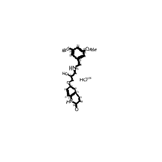 COc1cc(CNCC(O)COc2ccc3[nH]c(=O)ccc3c2)cc(OC)c1.Cl